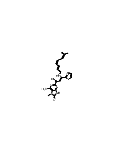 C\C(F)=C/C=C\C=C\CN/C(=C\C(=N)c1nc(N)c2c(n1)[nH]c(=O)n2C)c1nccs1